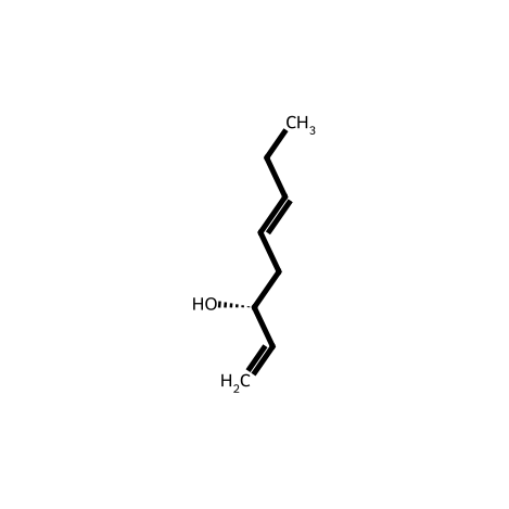 C=C[C@H](O)C/C=C/CC